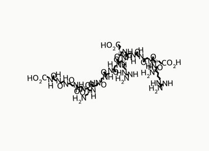 N=C(N)NCCC[C@H](NC(=O)[C@H](CCC(=O)O)NC(=O)CNC(=O)CNC(=O)CNC(=O)[C@H](CCC(=O)O)NC(=O)[C@@H](N)CCCNC(=N)N)C(=O)NCC(=O)NCC(=O)NCC(=O)NCC(=O)N[C@@H](CC(N)=O)C(=O)NCC(=O)NCC(=O)NCC(=O)NCC(=O)NCC(=O)O